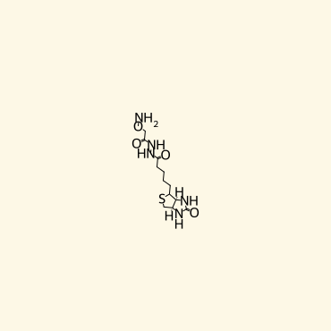 NOCC(=O)NNC(=O)CCCCC1SC[C@@H]2NC(=O)N[C@H]12